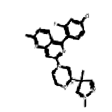 Cc1ccc2c(-c3ccc(Cl)cc3F)nc(N3CCO[C@H](C4(C)C=NN(C)C4)C3)cc2n1